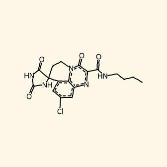 CCCCNC(=O)c1nc2cc(Cl)cc3c2n(c1=O)CCC31NC(=O)NC1=O